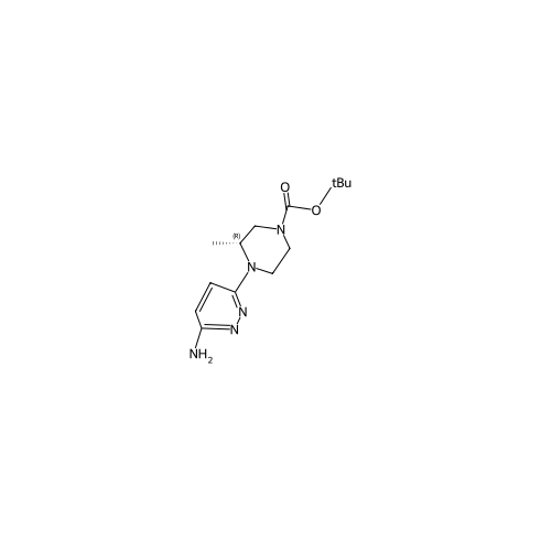 C[C@@H]1CN(C(=O)OC(C)(C)C)CCN1c1ccc(N)nn1